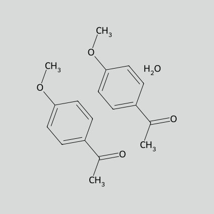 COc1ccc(C(C)=O)cc1.COc1ccc(C(C)=O)cc1.O